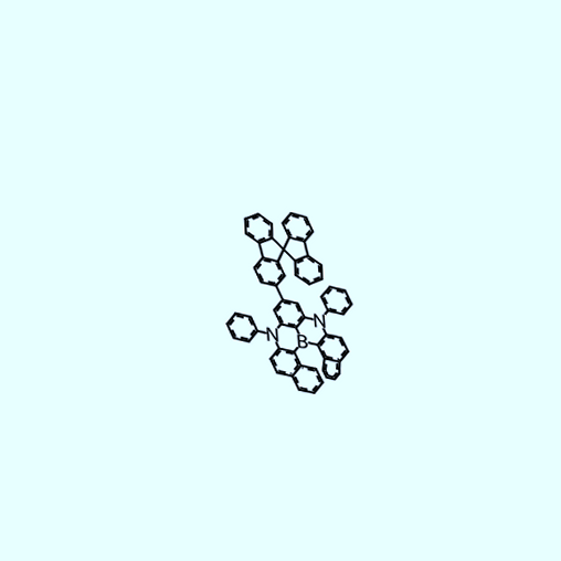 c1ccc(N2c3cc(-c4ccc5c(c4)C4(c6ccccc6-c6ccccc64)c4ccccc4-5)cc4c3B(c3c2ccc2ccccc32)c2c(ccc3ccccc23)N4c2ccccc2)cc1